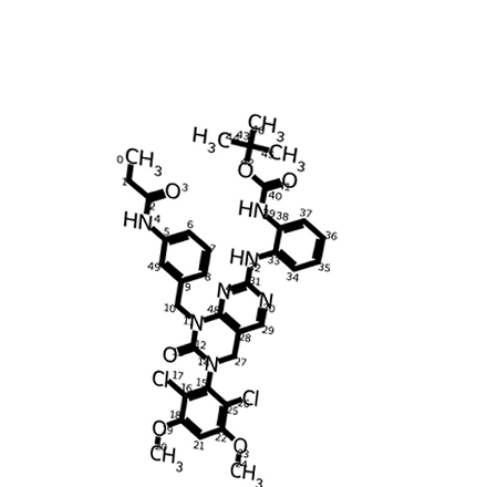 CCC(=O)Nc1cccc(CN2C(=O)N(c3c(Cl)c(OC)cc(OC)c3Cl)Cc3cnc(Nc4ccccc4NC(=O)OC(C)(C)C)nc32)c1